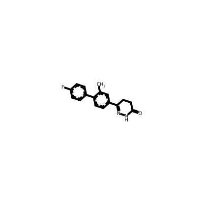 Cc1cc(C2=NNC(=O)CC2)ccc1-c1ccc(F)cc1